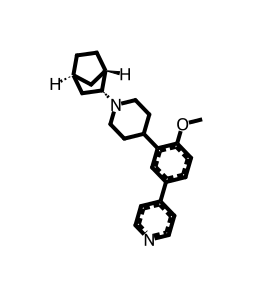 COc1ccc(-c2ccncc2)cc1C1CCN([C@@H]2C[C@H]3CC[C@H]2C3)CC1